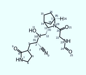 N#C[C@H](CC1CCNC1=O)N(O)C[C@@H]1C2CC[C@H](C2)N1C(=O)CNC=O